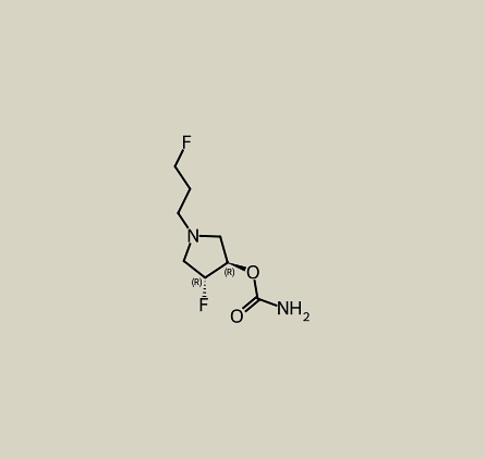 NC(=O)O[C@@H]1CN(CCCF)C[C@H]1F